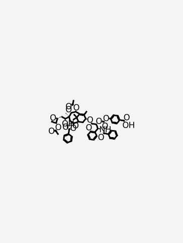 CC(=O)O[C@H]1C(=O)[C@](C)([C@@H](O)C[C@H]2OC[C@@H]2OC(C)=O)C[C@H](OC(=O)c2ccccc2)[C@]2(O)C[C@H](OC(=O)[C@H](OC(=O)Oc3ccc(C(=O)O)cc3)[C@@H](NC(=O)c3ccccc3)c3ccccc3)C(C)=C1C2(C)C